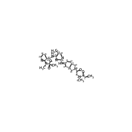 C=CC(=O)N(C)CC(=O)N1Cc2ccc(Nc3ncc(C)c(NCc4cccnc4N(C)S(C)(=O)=O)n3)cc2C1